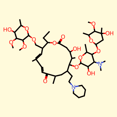 CCC1OC(=O)CC(O)C(C)C(OC2OC(C)C(OC3CC(C)(O)C(OC)C(C)O3)C(N(C)C)C2O)C(CCN2CCCCC2)CC(C)C(=O)/C=C/C(C)=C/C1COC1OC(C)C(O)C(OC)C1OC